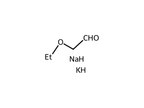 CCOCC=O.[KH].[NaH]